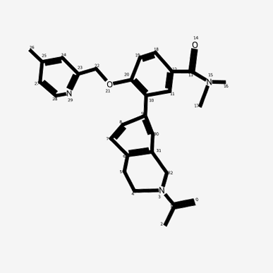 C=C(C)N1CCc2ccc(-c3cc(C(=O)N(C)C)ccc3OCc3cc(C)ccn3)cc2C1